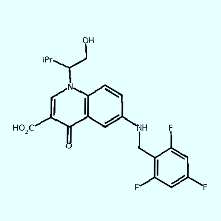 CC(C)C(CO)n1cc(C(=O)O)c(=O)c2cc(NCc3c(F)cc(F)cc3F)ccc21